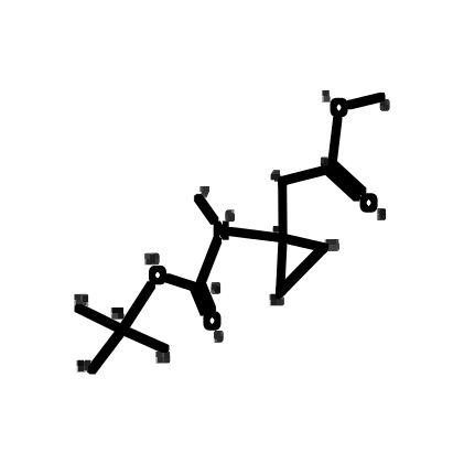 COC(=O)CC1(N(C)C(=O)OC(C)(C)C)CC1